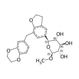 CO[C@H]1O[C@@H](c2cc3c(c(Cc4ccc5c(c4)OCCO5)c2)OCC3)[C@H](O)[C@@H](O)[C@@H]1O